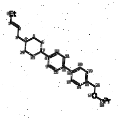 CC/C=C/CC1CCC(c2ccc(-c3ccc(COCCC)cc3)cc2)CC1